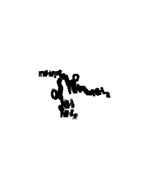 CCCCCCCN(CCC(=O)NCN)CCC(=O)NCCN